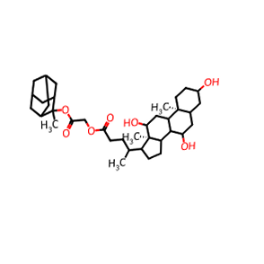 CC(CCC(=O)OCC(=O)OC1(C)C2CC3CC(C2)CC1C3)C1CCC2C3C(O)CC4CC(O)CC[C@]4(C)C3CC(O)[C@]12C